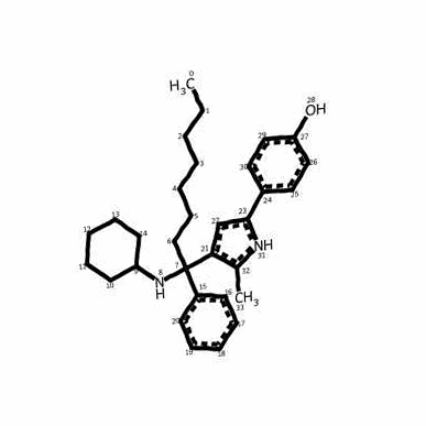 CCCCCCCC(NC1CCCCC1)(c1ccccc1)c1cc(-c2ccc(O)cc2)[nH]c1C